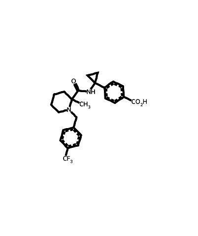 CC1(C(=O)NC2(c3ccc(C(=O)O)cc3)CC2)CCCCN1Cc1ccc(C(F)(F)F)cc1